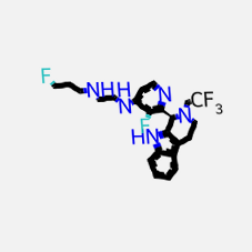 FCCCNCCNc1ccnc([C@@H]2c3[nH]c4ccccc4c3CCN2CC(F)(F)F)c1F